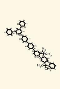 CC1(C)c2ccccc2-c2cc3c(cc21)-c1ccc(-c2ccc(-c4ccc(-c5cc(-c6ccccc6)nc(-c6ccccc6)n5)cc4)cc2)cc1C3(C)C